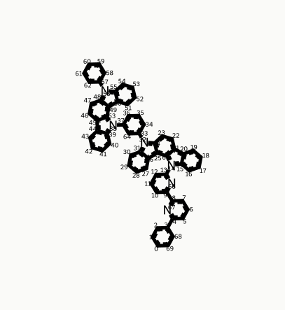 c1ccc(-c2cccc(-c3cccc(-n4c5ccccc5c5ccc6c(c7ccccc7n6-c6cccc(-n7c8ccccc8c8ccc9c(c%10ccccc%10n9-c9ccccc9)c87)c6)c54)n3)n2)cc1